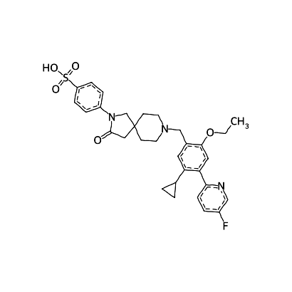 CCOc1cc(-c2ccc(F)cn2)c(C2CC2)cc1CN1CCC2(CC1)CC(=O)N(c1ccc(S(=O)(=O)O)cc1)C2